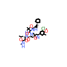 CCC[C@H](NC(=O)[C@@H]1C[C@]2(CC(c3cc(C)c(OC)c(Cl)c3)=NO2)CN1C(=O)C(NC(=O)[C@@H]1C[C@H]1c1ccccc1)C(C)(C)C)C(=O)C(=O)NC